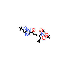 Cn1c(C(C)(C)C)cc2ncc(C(=O)CCC[C@@H](CC3CC3)[C@@H]3COC(C)(C)N3C(=O)OC(C)(C)C)nc21